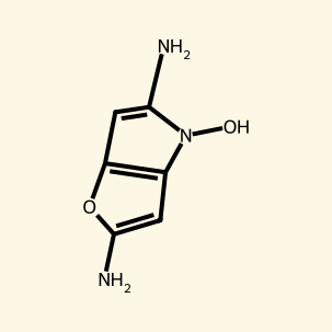 Nc1cc2c(cc(N)n2O)o1